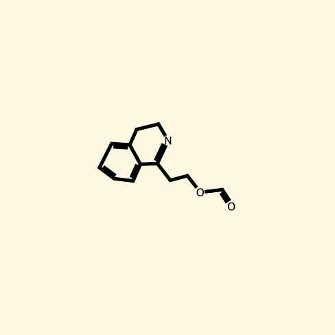 O=COCCC1=NCCc2ccccc21